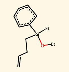 C=CCC[Si](CC)(OCC)c1ccccc1